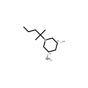 CCCC(C)(C)N1C[C@H](C)C[C@H](N)C1